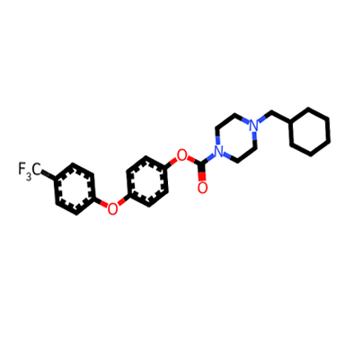 O=C(Oc1ccc(Oc2ccc(C(F)(F)F)cc2)cc1)N1CCN(CC2CCCCC2)CC1